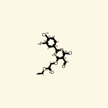 CCOC(=O)COc1nc(-c2ccc(Cl)c(F)c2)nc(Cl)c1C=O